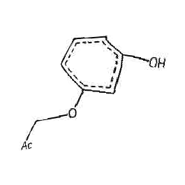 CC(=O)COc1cccc(O)c1